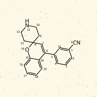 N#Cc1cccc(C2=CC3(CCNCC3)Oc3ccccc32)c1